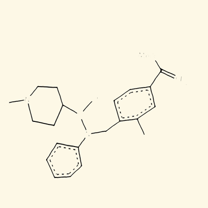 C=C(OC)c1ccc(CN(c2ccccc2)[S+]([O-])C2CCN(C)CC2)c(F)c1